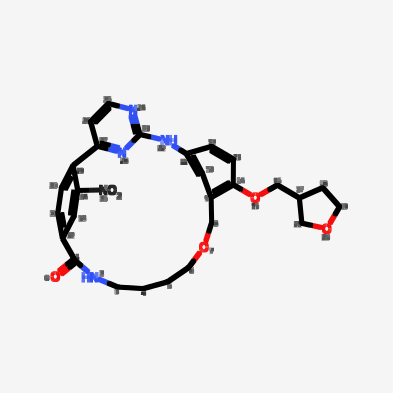 O=C1NCCCCOCc2cc(ccc2OCC2CCOC2)Nc2nccc(n2)-c2ccc1cc2[N+](=O)[O-]